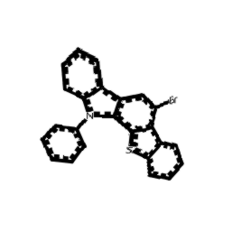 Brc1cc2c3ccccc3n(-c3ccccc3)c2c2sc3ccccc3c12